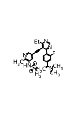 C=C(c1ccc(-c2ncnc(CC)c2C#Cc2cnc(C)c(NS(C)(=O)=O)c2)c(F)c1)N(C)C